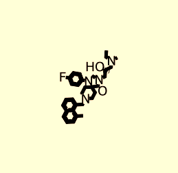 CCN(C)C[C@H](O)CN1CN(c2ccc(F)cc2)C2(CCN(Cc3cccc4cccc(C)c34)CC2)C1=O